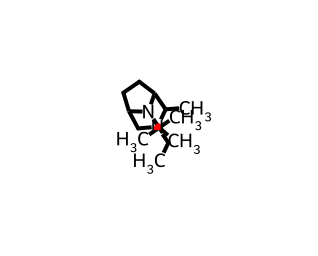 CCN1CC2CCC(C1C)N2C(C)(C)C